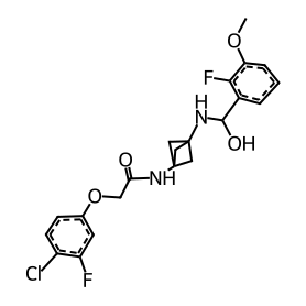 COc1cccc(C(O)NC23CC(NC(=O)COc4ccc(Cl)c(F)c4)(C2)C3)c1F